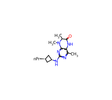 CCC[C@H]1C[C@@H](Nc2nc(C)c3c(n2)N(C)[C@@H](C)C(=O)N3)C1